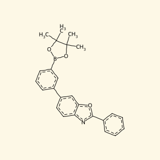 CC1(C)OB(c2cccc(-c3ccc4nc(-c5ccccc5)oc4c3)c2)OC1(C)C